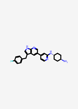 N[C@H]1CC[C@H](Nc2cc(-c3cnc4[nH]cc(Cc5ccc(F)cc5)c4c3)ccn2)CC1